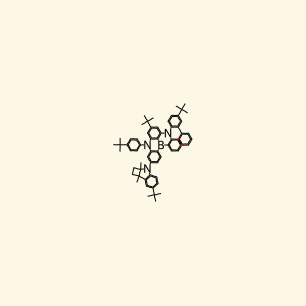 CC(C)(C)c1ccc(N2c3cc(N4c5ccc(C(C)(C)C)cc5C5(C)CCC45C)ccc3B3c4ccccc4N(c4ccc(C(C)(C)C)cc4-c4ccccc4)c4cc(C(C)(C)C)cc2c43)cc1